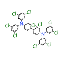 Clc1cc(Cl)cc(N(C2=CC(Cl)(Cl)C(c3ccc(N(c4cc(Cl)cc(Cl)c4)c4cc(Cl)cc(Cl)c4)cc3)C=C2)c2cc(Cl)cc(Cl)c2)c1